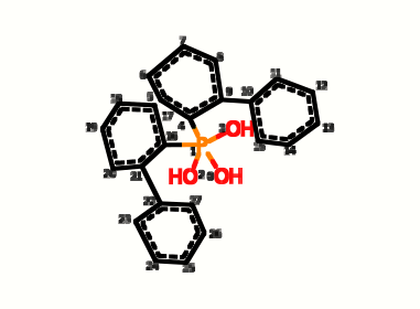 OP(O)(O)(c1ccccc1-c1ccccc1)c1ccccc1-c1ccccc1